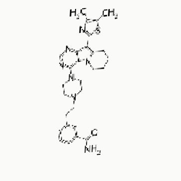 Cc1nc(-c2c3n(c4c(N5CCN(CCc6cccc(C(N)=O)c6)CC5)ncnc24)CCCC3)sc1C